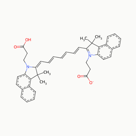 CC1(C)C(/C=C/C=C/C=C/C=C2/N(CCC(=O)O)c3ccc4ccccc4c3C2(C)C)=[N+](CCC(=O)[O-])c2ccc3ccccc3c21